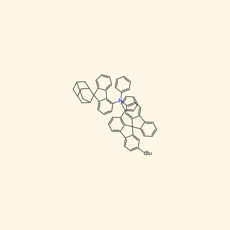 CC(C)(C)c1ccc2c(c1)C1(c3ccccc3-c3ccc(N(c4ccccc4)c4cccc5c4-c4ccccc4C54C5CC6CC(C5)CC4C6)cc31)c1c(-c3ccccc3)cccc1-2